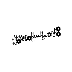 COc1cc(NC(=O)OCCCNC(=O)CCN2CCC(OC(=O)Nc3ccccc3-c3ccccc3)CC2)c(Cl)cc1CNC[C@H](O)c1ccc(O)c2[nH]c(=O)sc12